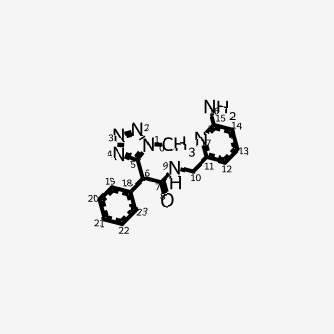 Cn1nnnc1C(C(=O)NCc1cccc(N)n1)c1ccccc1